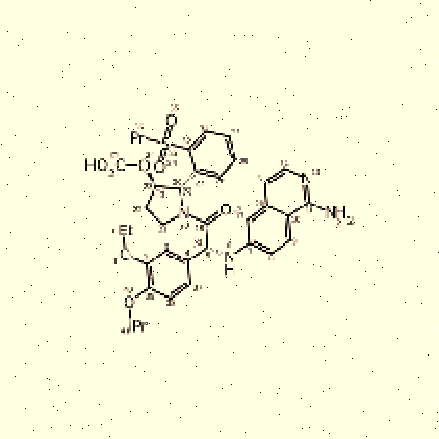 CCOc1cc([C@@H](Nc2ccc3c(N)nccc3c2)C(=O)N2CC[C@@H](OC(=O)O)[C@@H]2c2ccccc2S(=O)(=O)C(C)C)ccc1OC(C)C